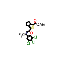 COC(=O)C1SC(C(=O)/C=C(\c2cc(Cl)c(Cl)c(Cl)c2)C(F)(F)F)=C2CCCC21